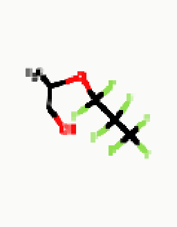 CC(CO)OC(F)(F)C(F)(F)C(F)(F)F